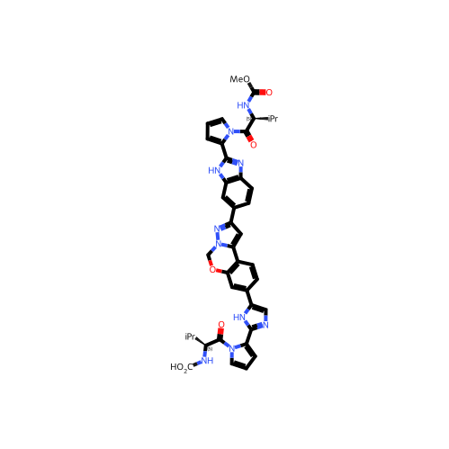 COC(=O)N[C@H](C(=O)n1cccc1-c1nc2ccc(-c3cc4n(n3)COc3cc(-c5cnc(-c6cccn6C(=O)[C@@H](NC(=O)O)C(C)C)[nH]5)ccc3-4)cc2[nH]1)C(C)C